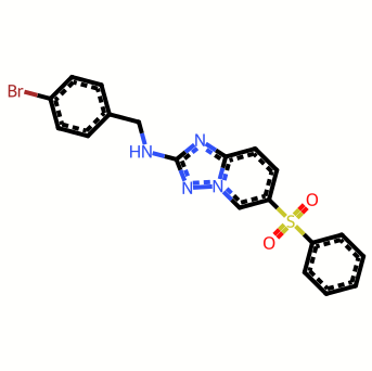 O=S(=O)(c1ccccc1)c1ccc2nc(NCc3ccc(Br)cc3)nn2c1